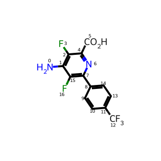 Nc1c(F)c(C(=O)O)nc(-c2ccc(C(F)(F)F)cc2)c1F